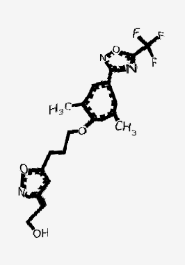 Cc1cc(-c2noc(C(F)(F)F)n2)cc(C)c1OCCCc1cc(CCO)no1